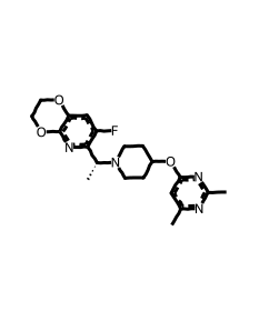 Cc1cc(OC2CCN([C@H](C)c3nc4c(cc3F)OCCO4)CC2)nc(C)n1